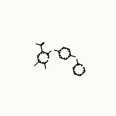 CCCc1nc(Oc2ccc(Nc3ccccn3)cc2)c(C(N)=O)cc1C